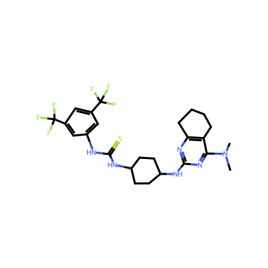 CN(C)c1nc(NC2CCC(NC(=S)Nc3cc(C(F)(F)F)cc(C(F)(F)F)c3)CC2)nc2c1CCCC2